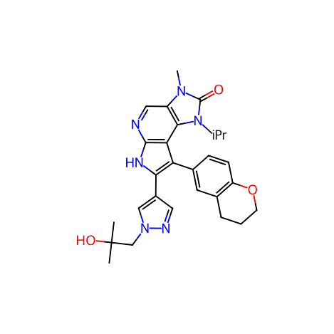 CC(C)n1c(=O)n(C)c2cnc3[nH]c(-c4cnn(CC(C)(C)O)c4)c(-c4ccc5c(c4)CCCO5)c3c21